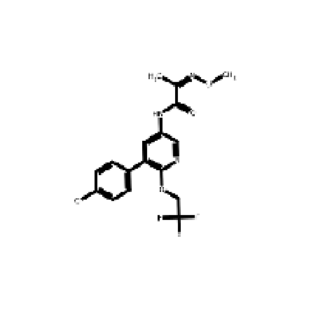 CO/N=C(/C)C(=O)Nc1cnc(OCC(F)(F)F)c(-c2ccc(Cl)cc2)c1